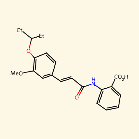 CCC(CC)Oc1ccc(/C=C/C(=O)Nc2ccccc2C(=O)O)cc1OC